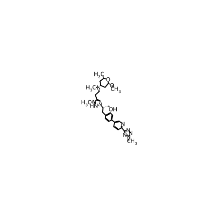 CO[C@H]1C[C@@H](N(C)CCC2=CN([C@H](CO)Cc3ccc(-c4ccc(-c5nnn(C)n5)nc4)cc3)NN2C)C[C@@H](C)O1